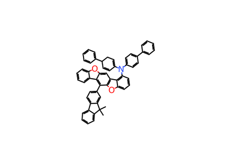 CC1(C)c2ccccc2-c2ccc(-c3c4oc5cccc(N(C6=CCC(c7ccccc7)C=C6)c6ccc(-c7ccccc7)cc6)c5c4cc4oc5ccccc5c34)cc21